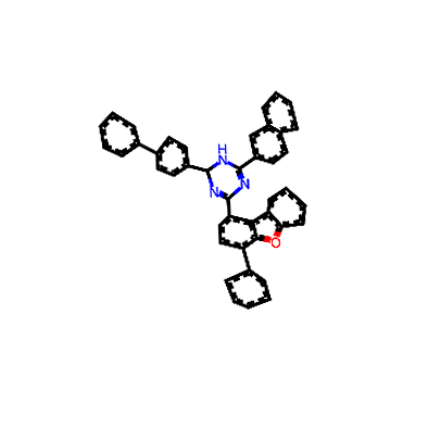 c1ccc(-c2ccc(C3N=C(c4ccc(-c5ccccc5)c5oc6ccccc6c45)N=C(c4ccc5ccccc5c4)N3)cc2)cc1